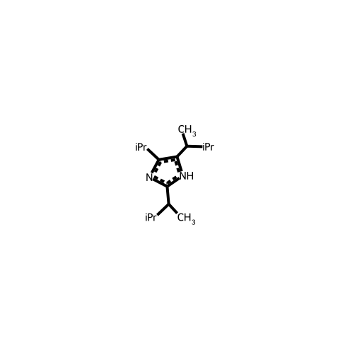 CC(C)c1nc(C(C)C(C)C)[nH]c1C(C)C(C)C